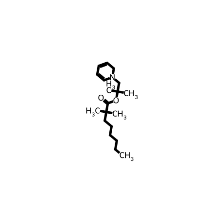 CCCCCCC(C)(C)C(=O)OC(C)(C)CN1C=CC=CC1